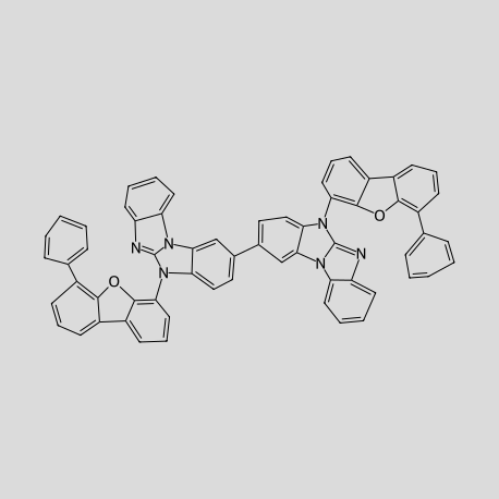 c1ccc(-c2cccc3c2oc2c(-n4c5ccc(-c6ccc7c(c6)n6c8ccccc8nc6n7-c6cccc7c6oc6c(-c8ccccc8)cccc67)cc5n5c6ccccc6nc45)cccc23)cc1